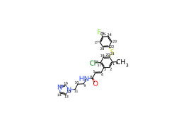 Cc1cc(/C=C/C(=O)NCCCn2ccnc2)c(Cl)cc1Sc1ccc(F)cc1